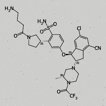 C[C@@H]1CN([C@H]2Cc3c(C#N)cc(Cl)cc3[C@@H]2Oc2ccc(S(N)(=O)=O)c([C@@H]3CCN(C(=O)CCCN)C3)c2)CCN1C(=O)C(F)(F)F